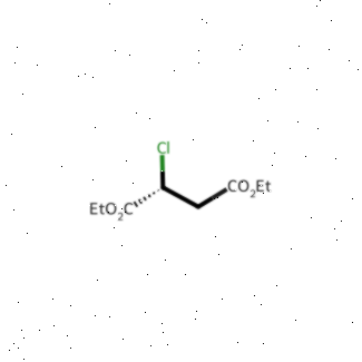 CCOC(=O)C[C@@H](Cl)C(=O)OCC